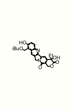 CC[C@@]1(O)C(=O)OCc2c1cc1n(c2=O)Cc2cc3c(COCC(C)C)c(O)ccc3nc2-1